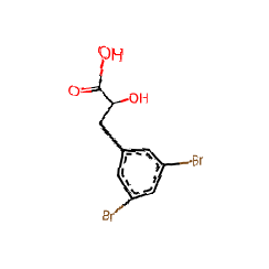 O=C(O)C(O)Cc1cc(Br)cc(Br)c1